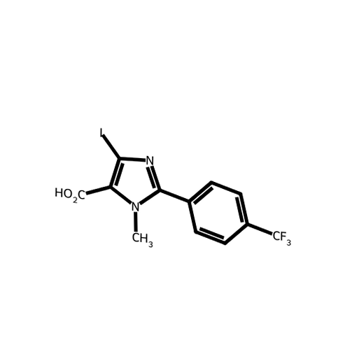 Cn1c(-c2ccc(C(F)(F)F)cc2)nc(I)c1C(=O)O